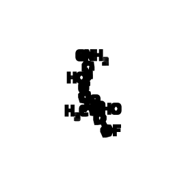 Cc1c(CC2(C=O)C=CC(c3cccc(F)c3)=CC2)c(=O)oc2cc(OCC(O)CN3CCC(C(N)=O)CC3)ccc12